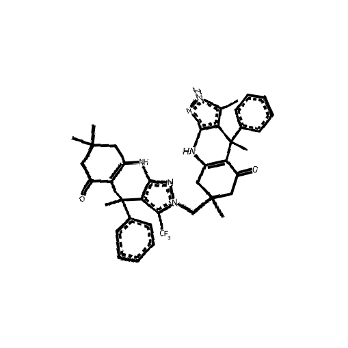 Cc1[nH]nc2c1C(C)(c1ccccc1)C1=C(CC(C)(Cn3nc4c(c3C(F)(F)F)C(C)(c3ccccc3)C3=C(CC(C)(C)CC3=O)N4)CC1=O)N2